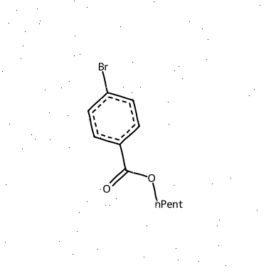 CCCCCOC(=O)c1ccc(Br)cc1